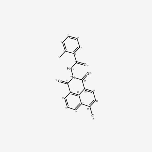 Cc1ccccc1C(=O)NN1C(=O)c2cccc3c(Cl)ccc(c23)C1=O